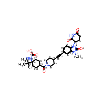 Cn1c(=O)n(C2CCC(=O)NC2=O)c2ccc(C#CC3CCN(C(=O)C4CCC(NC(=O)O)(C(C)(C)C)CC4)CC3)cc21